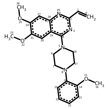 C=Cc1nc(N2CCN(c3ccccc3OC)CC2)c2cc(OC)c(OC)cc2n1